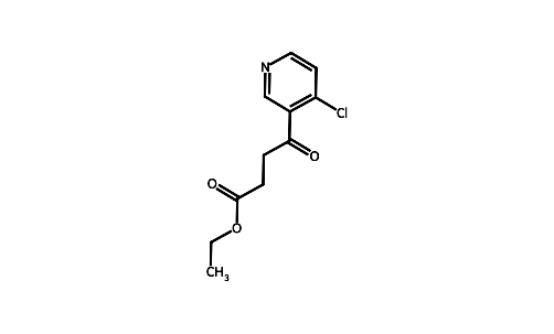 CCOC(=O)CCC(=O)c1cnccc1Cl